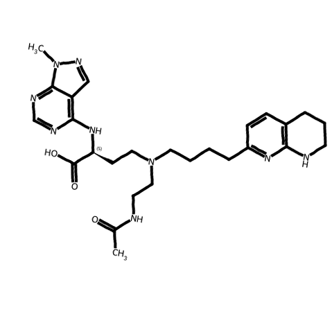 CC(=O)NCCN(CCCCc1ccc2c(n1)NCCC2)CC[C@H](Nc1ncnc2c1cnn2C)C(=O)O